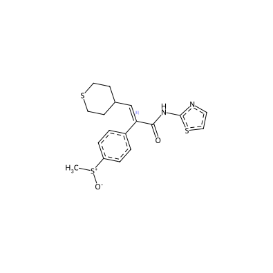 C[S+]([O-])c1ccc(/C(=C\C2CCSCC2)C(=O)Nc2nccs2)cc1